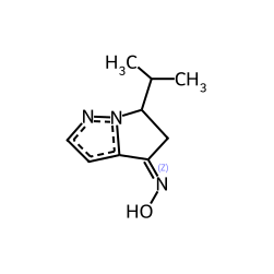 CC(C)C1C/C(=N/O)c2ccnn21